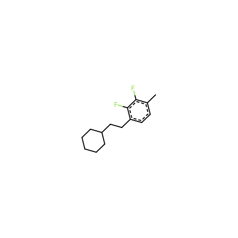 Cc1ccc(CCC2CCCCC2)c(F)c1F